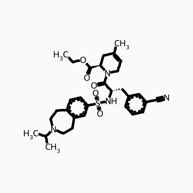 CCOC(=O)[C@H]1CC(C)=CCN1C(=O)[C@H](Cc1cccc(C#N)c1)NS(=O)(=O)c1ccc2c(c1)CCN(C(C)C)CC2